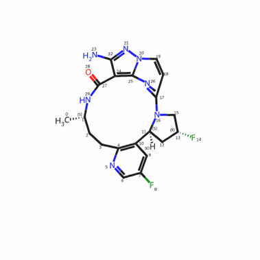 C[C@H]1CCc2ncc(F)cc2[C@@H]2C[C@@H](F)CN2c2ccn3nc(N)c(c3n2)C(=O)N1